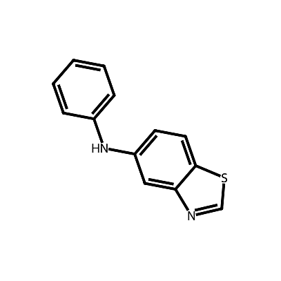 c1ccc(Nc2ccc3scnc3c2)cc1